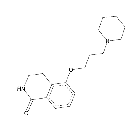 O=C1NCCc2c(OCCCN3CCCCC3)cccc21